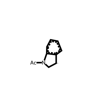 CC(=O)N1C[CH]c2ccccc21